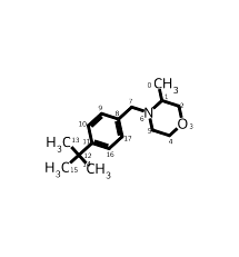 CC1COCCN1Cc1ccc(C(C)(C)C)cc1